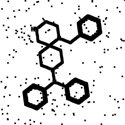 c1ccc(CN2CCNCC23CCN(N(c2ccccc2)c2ccccc2)CC3)cc1